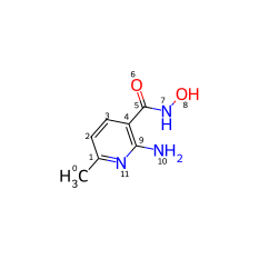 Cc1ccc(C(=O)NO)c(N)n1